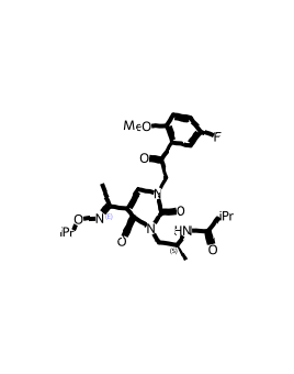 COc1ccc(F)cc1C(=O)Cn1cc(/C(C)=N/OC(C)C)c(=O)n(C[C@H](C)NC(=O)C(C)C)c1=O